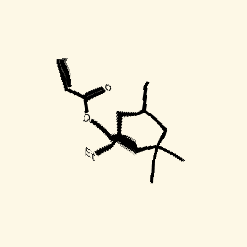 C=CC(=O)OC1(CC)CC(C)CC(C)(C)C1